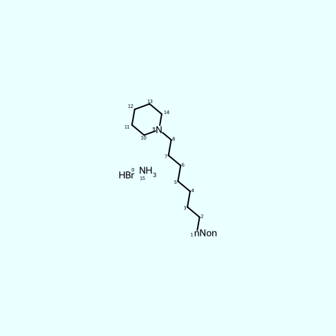 Br.CCCCCCCCCCCCCCCCN1CCCCC1.N